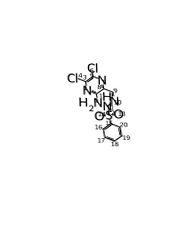 Nc1nc(Cl)c(Cl)nc1/C=N\NS(=O)(=O)c1ccccc1